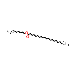 CCCCCCCCCCCCCCCCCCCC(=O)OCCCCCCC